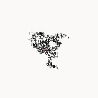 CN[C@@H](CC(C)C)C(=O)N[C@H]1C(=O)N[C@@H](CC(N)=O)C(=O)N[C@H]2C(=O)N[C@H]3C(=O)N[C@H](C(=O)N[C@@H](C(=O)O)c4cc(O)cc(O)c4-c4cc3ccc4O)[C@H](O)c3ccc(c(Cl)c3)Oc3cc2cc(c3OC2OC(CSc3nccc(N)n3)C(O)C(O)C2OC2CC(C)(N)C(O)C(C)O2)Oc2ccc(cc2Cl)[C@H]1O